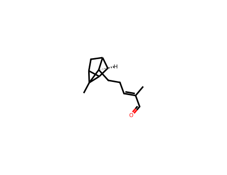 C/C(C=O)=C\CC[C@@H]1C2CC3C(C2)C31C